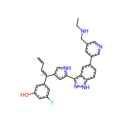 C=C/C=C(/c1cc(O)cc(F)c1)c1c[nH]c(-c2n[nH]c3ccc(-c4cncc(CNCC)c4)cc23)c1